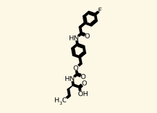 CCC[C@@H](NC(=O)OCc1ccc(NC(=O)Cc2ccc(F)cc2)cc1)C(=O)O